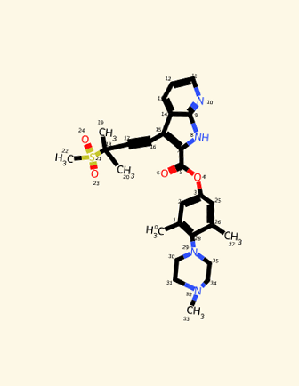 Cc1cc(OC(=O)c2[nH]c3ncccc3c2C#CC(C)(C)S(C)(=O)=O)cc(C)c1N1CCN(C)CC1